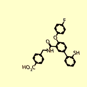 O=C(O)c1ccc(CNC(=O)c2cc(-c3ccccc3S)ccc2Oc2ccc(F)cc2)cc1